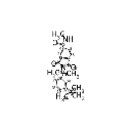 CNC(=O)c1ccc2c(c1)C(=O)N(C(C)(C)c1cccc(C(C)(C)C)c1)C2=O